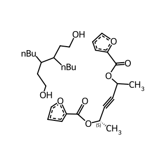 CC(C#C[C@H](C)OC(=O)c1ccco1)OC(=O)c1ccco1.CCCCC(CCO)C(CCO)CCCC